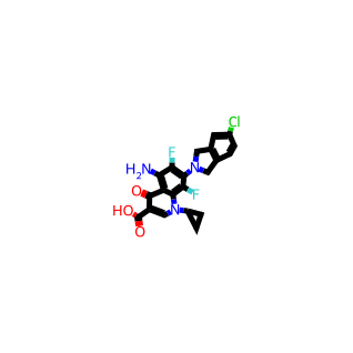 Nc1c(F)c(N2Cc3ccc(Cl)cc3C2)c(F)c2c1c(=O)c(C(=O)O)cn2C1CC1